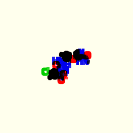 CNC(=O)c1cc(Oc2ccc(C)c(NNC(=O)Nc3cc(Cl)c(C)cc3[N+](=O)[O-])c2)ccn1